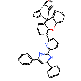 c1ccc(-c2cc(-c3ccccc3)nc(-c3cccc(-c4cccc5c4Oc4ccccc4C54c5ccccc5-c5ccccc54)n3)n2)cc1